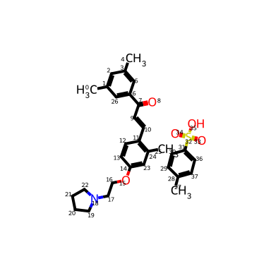 Cc1cc(C)cc(C(=O)C=Cc2ccc(OCCN3CCCC3)cc2C)c1.Cc1ccc(S(=O)(=O)O)cc1